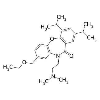 CCOCc1ccc2c(c1)N(CCN(C)C)C(=O)c1cc(C(C)C)cc(C(C)C)c1O2